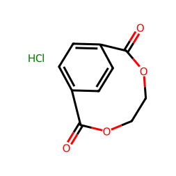 Cl.O=C1OCCOC(=O)c2ccc1cc2